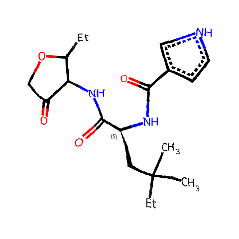 CCC1OCC(=O)C1NC(=O)[C@H](CC(C)(C)CC)NC(=O)c1cc[nH]c1